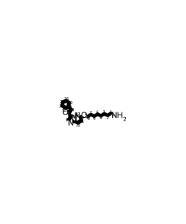 NCCCCCCCCOc1ccc2ncc(-c3cc4ccccc4o3)n2n1